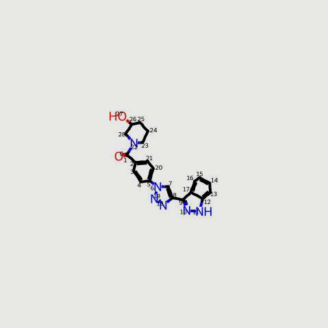 O=C(c1ccc(-n2cc(-c3n[nH]c4ccccc34)nn2)cc1)N1CCCC(O)C1